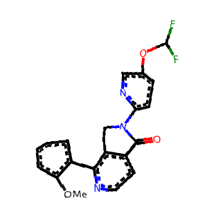 COc1ccccc1-c1nccc2c1CN(c1ccc(OC(F)F)cn1)C2=O